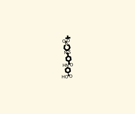 CC(C)(C)OC(=O)N1CCc2nc(C3CCC(C(=O)N[C@H]4CC[C@H](C(=O)O)CC4)CC3)sc2CC1